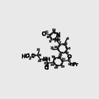 CCCC(Oc1cc(C)c(-n2cc(Cl)cn2)c(C)c1)c1ccc(C(=O)NCC(C)C(=O)O)cc1